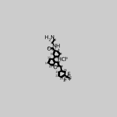 Cl.NCCNC(=O)c1cccc(-c2cccc3oc(Cc4cccc(C(F)(F)F)c4)cc23)c1